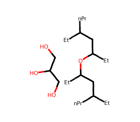 CCCC(CC)CC(CC)OC(CC)CC(CC)CCC.OCC(O)CO